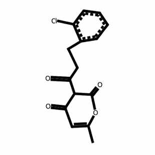 CC1=CC(=O)C(C(=O)CCc2ccccc2Cl)C(=O)O1